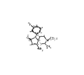 C[C@H]1C[C@]2(CCN1C(=O)O)C(N)=NC(=O)N2c1cccc(F)c1